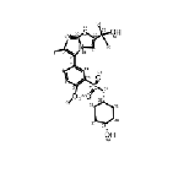 COc1ccc(-c2c(C)nc3sc(C(C)(C)O)cn23)cc1S(=O)(=O)C[C@H]1CC[C@@H](O)CC1